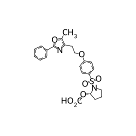 Cc1oc(-c2ccccc2)nc1CCOc1ccc(S(=O)(=O)N2CCC[C@H]2OC(=O)O)cc1